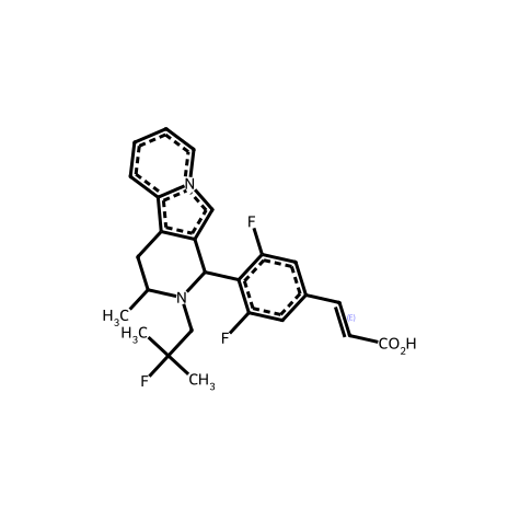 CC1Cc2c(cn3ccccc23)C(c2c(F)cc(/C=C/C(=O)O)cc2F)N1CC(C)(C)F